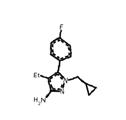 CCc1c(N)nn(CC2CC2)c1-c1ccc(F)cc1